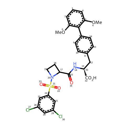 COc1cccc(OC)c1-c1ccc(C[C@H](NC(=O)C2CCN2S(=O)(=O)c2cc(Cl)cc(Cl)c2)C(=O)O)cc1